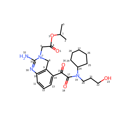 CC(C)OC(=O)CN1Cc2c(cccc2C(=O)C(=O)N(CCCO)C2CCCCC2)N=C1N